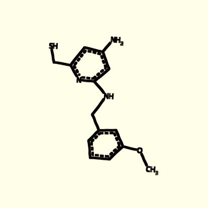 COc1cccc(CNc2cc(N)cc(CS)n2)c1